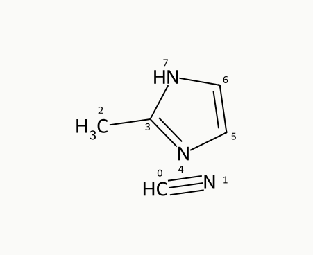 C#N.Cc1ncc[nH]1